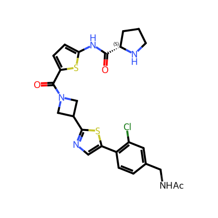 CC(=O)NCc1ccc(-c2cnc(C3CN(C(=O)c4ccc(NC(=O)[C@@H]5CCCN5)s4)C3)s2)c(Cl)c1